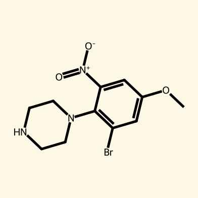 COc1cc(Br)c(N2CCNCC2)c([N+](=O)[O-])c1